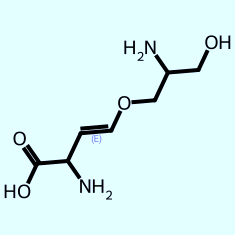 NC(CO)CO/C=C/C(N)C(=O)O